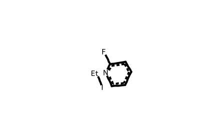 CCI.Fc1ccccn1